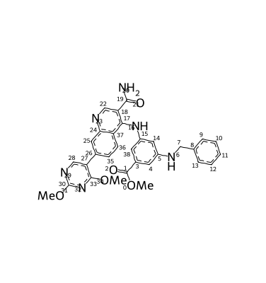 COC(=O)c1cc(NCc2ccccc2)cc(Nc2c(C(N)=O)cnc3cc(-c4cnc(OC)nc4OC)ccc23)c1